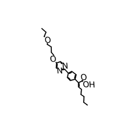 CCCCCC=C(C(=O)O)c1ccc(-c2ncc(OCCCCOCCC)cn2)cc1